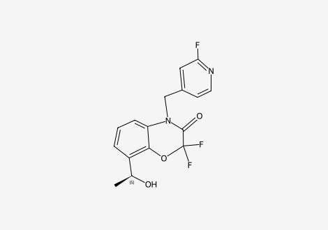 C[C@H](O)c1cccc2c1OC(F)(F)C(=O)N2Cc1ccnc(F)c1